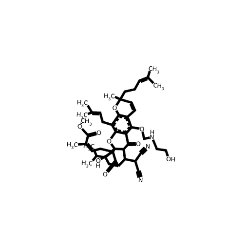 COC(=O)/C(C)=C\CC1(O)C(=O)C2CC(C(C)C)C13Oc1c(CC=C(C)C)c4c(c(OCNCCO)c1C(=O)C3C2C(C#N)C#N)C=CC(C)(CCC=C(C)C)O4